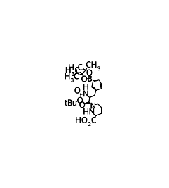 CC(C)(C)OC(=O)NC(Cc1cccc(B2OC(C)(C)C(C)(C)O2)c1)C(=O)N1CCCC(C(=O)O)N1